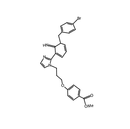 COC(=O)c1ccc(OCCCn2ccnc2C2=CC=CC(Cc3ccc(Br)cc3)C2=N)cc1